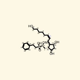 CON(C[C@@H]1C(C/C=C\CCCCCO)[C@@H](O)C[C@H]1O)P(=O)(O)CCc1ccccc1